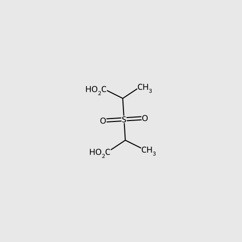 CC(C(=O)O)S(=O)(=O)C(C)C(=O)O